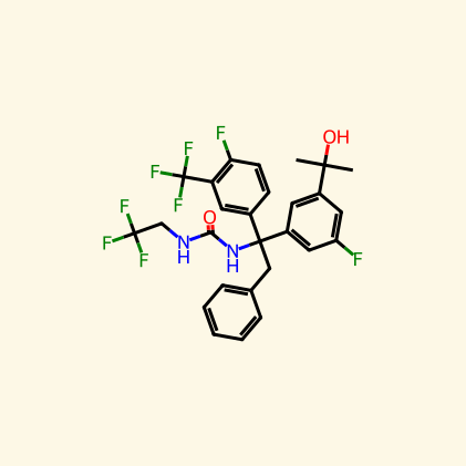 CC(C)(O)c1cc(F)cc(C(Cc2ccccc2)(NC(=O)NCC(F)(F)F)c2ccc(F)c(C(F)(F)F)c2)c1